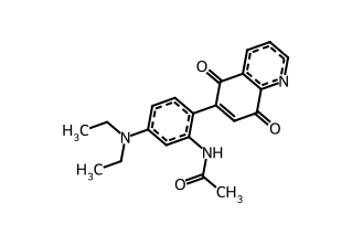 CCN(CC)c1ccc(C2=CC(=O)c3ncccc3C2=O)c(NC(C)=O)c1